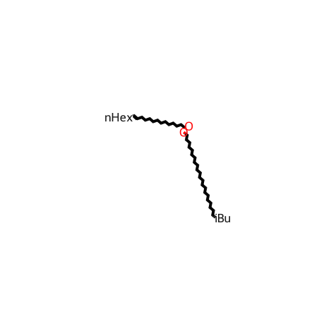 CCCCCCC=CCCCCCCCCCCCC(=O)OCCCCCCCCCCCCCCCCCCCCCCC(C)CC